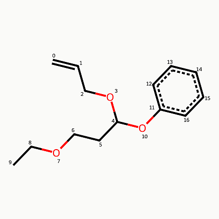 C=CCOC(CCOCC)Oc1ccccc1